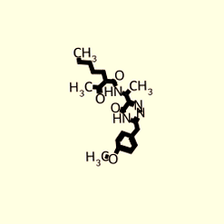 CCCCCC(C(C)=O)C(=O)NC(C)c1nnc(Cc2ccc(OC)cc2)[nH]c1=O